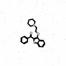 O=C(c1ccccc1)c1sc2ccccc2c1OCCN1CCCCC1